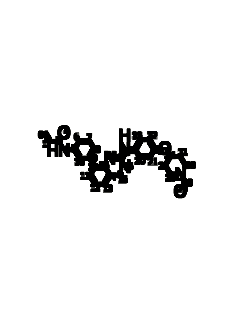 C=CC(=O)Nc1cccc(-c2cccc3cnc(Nc4ccc(OC5CCN(C=O)CC5)cc4)nc23)c1